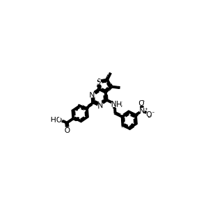 Cc1sc2nc(-c3ccc(C(=O)O)cc3)nc(NCc3cccc([N+](=O)[O-])c3)c2c1C